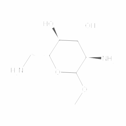 COC1O[C@H](CN)[C@@H](O)[C@H](O)[C@H]1N